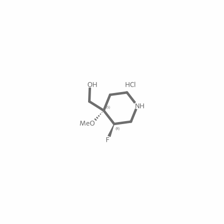 CO[C@]1(CO)CCNC[C@H]1F.Cl